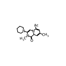 CC(=O)C1=CC(C)=CC2C(=O)N(C)C(N3CCCCC3)=CN12